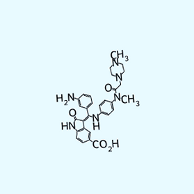 CN1CCN(CC(=O)N(C)c2ccc(NC(=C3C(=O)Nc4ccc(C(=O)O)cc43)c3cccc(N)c3)cc2)CC1